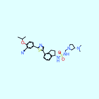 CC(C)Oc1ccc(-c2ncc(-c3cccc4c3CC[C@@H]4NS(=O)(=O)NCN3CC[C@H](N(C)C)C3)s2)cc1C#N